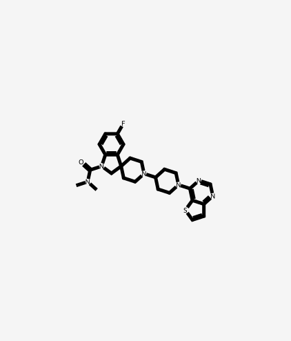 CN(C)C(=O)N1CC2(CCN(C3CCN(c4ncnc5ccsc45)CC3)CC2)c2cc(F)ccc21